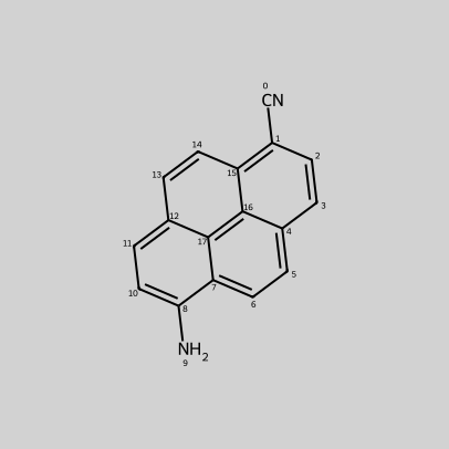 N#Cc1ccc2ccc3c(N)ccc4ccc1c2c43